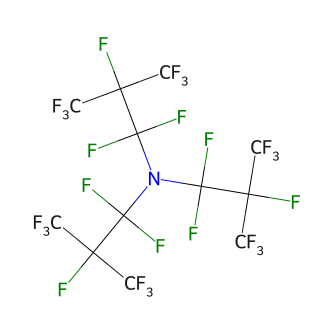 FC(F)(F)C(F)(C(F)(F)F)C(F)(F)N(C(F)(F)C(F)(C(F)(F)F)C(F)(F)F)C(F)(F)C(F)(C(F)(F)F)C(F)(F)F